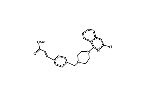 COC(=O)C=Cc1ccc(CN2CCN(c3nc(Cl)cc4ccccc34)CC2)cc1